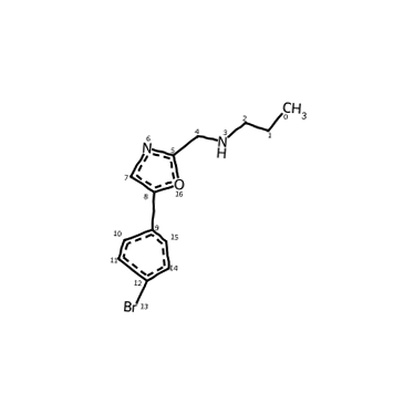 CCCNCc1ncc(-c2ccc(Br)cc2)o1